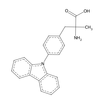 CC(N)(Cc1ccc(-n2c3ccccc3c3ccccc32)cc1)C(=O)O